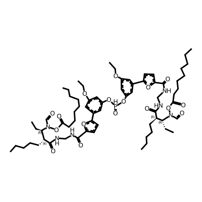 CCCCCCCCC(=O)ON(C=O)[C@H](CC)[C@@H](CCCCC)C(=O)NCNC(=O)c1ccc(-c2cc(OCC)cc(O[PH](=O)Oc3cc(OCC)cc(-c4ccc(C(=O)NCNC(=O)[C@H](CCCCC)[C@@H](CC)N(C=O)OC(=O)CCCCCCCC)o4)c3)c2)o1